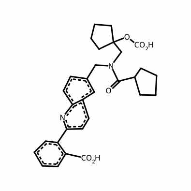 O=C(O)OC1(CN(Cc2ccc3nc(-c4ccccc4C(=O)O)ccc3c2)C(=O)C2CCCC2)CCCC1